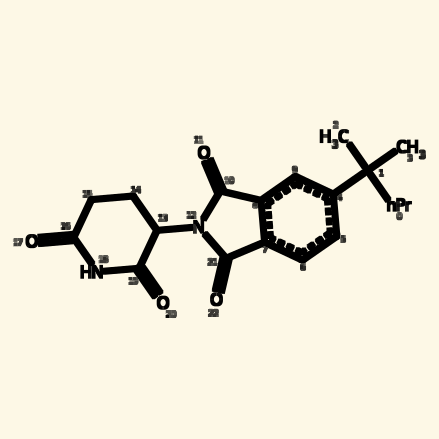 CCCC(C)(C)c1ccc2c(c1)C(=O)N(C1CCC(=O)NC1=O)C2=O